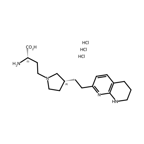 Cl.Cl.Cl.N[C@@H](CCN1CC[C@@H](CCc2ccc3c(n2)NCCC3)C1)C(=O)O